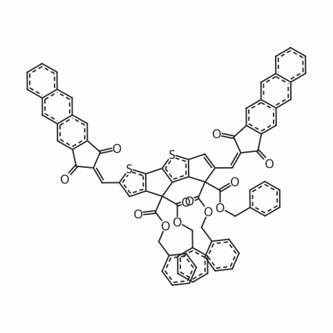 O=C1C(=CC2=Cc3sc4c(c3C2(C(=O)OCc2ccccc2)C(=O)OCc2ccccc2)C(C(=O)OCc2ccccc2)(C(=O)OCc2ccccc2)c2cc(C=C3C(=O)c5cc6cc7ccccc7cc6cc5C3=O)sc2-4)C(=O)c2cc3cc4ccccc4cc3cc21